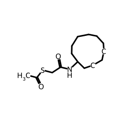 CC(=O)SCC(=O)NC1CCCCCCCCCC1